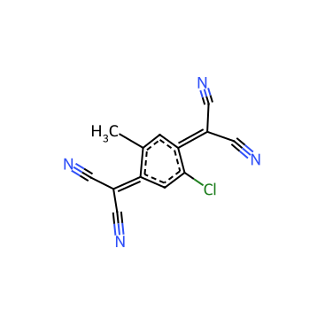 Cc1cc(=C(C#N)C#N)c(Cl)cc1=C(C#N)C#N